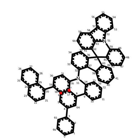 c1ccc(-c2cccc(-c3ccccc3N(c3ccc(-c4cccc5ccccc45)cc3)c3cccc4c3-c3ccccc3C43c4ccccc4-n4c5ccccc5c5cccc3c54)c2)cc1